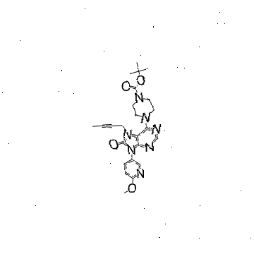 CC#CCn1c(=O)n(-c2ccc(OC)nc2)c2ncnc(N3CCN(C(=O)OC(C)(C)C)CC3)c21